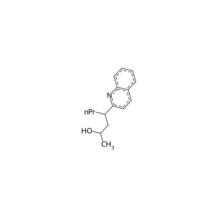 CCCC(CC(C)O)c1ccc2ccccc2n1